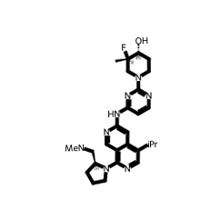 CNC[C@@H]1CCCN1c1ncc(C(C)C)c2cc(Nc3ccnc(N4CC[C@@H](O)[C@@](C)(F)C4)n3)ncc12